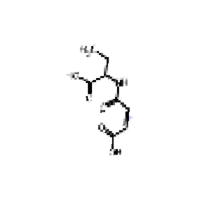 CCC(NC(=O)/C=C\C(=O)O)C(=O)O